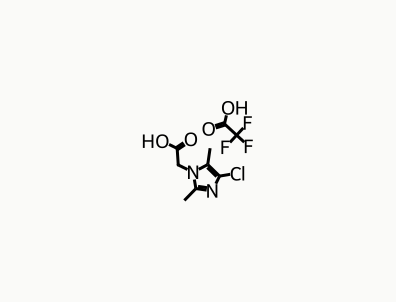 Cc1nc(Cl)c(C)n1CC(=O)O.O=C(O)C(F)(F)F